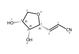 N#CC=C[C@H]1OC[C@@H](O)[C@H]1O